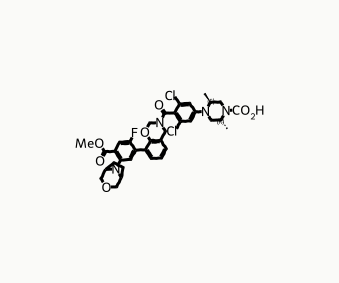 COC(=O)c1cc(F)c(-c2cccc3c2OCN(C(=O)c2c(Cl)cc(N4C[C@@H](C)N(C(=O)O)C[C@@H]4C)cc2Cl)C3)cc1N1C2CCC1COC2